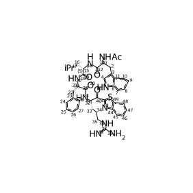 CC(=O)N[C@@H](Cc1c[nH]c2ccccc12)C(=O)N[C@@H](CC(C)C)C(=O)N[C@@H](Cc1ccccc1)C(=O)N[C@@H](CCCNC(=N)N)C(=O)c1nc2ccccc2s1